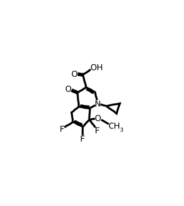 COC1(F)C(F)=C(F)Cc2c1n(C1CC1)cc(C(=O)O)c2=O